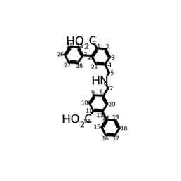 O=C(O)c1ccc(CNCc2ccc(C(=O)O)c(-c3ccccc3)c2)cc1-c1ccccc1